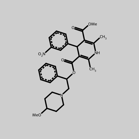 COC(=O)C1=C(C)NC(C)=C(C(=O)OC(CN2CCC(OC)CC2)c2ccccc2)C1c1cccc([N+](=O)[O-])c1